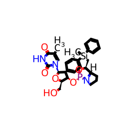 Cc1cn([C@H]2C[C@@H](O[P@]3O[C@@H](C[Si](C)(c4ccccc4)c4ccccc4)[C@H]4CCCN43)[C@@H](CO)O2)c(=O)[nH]c1=O